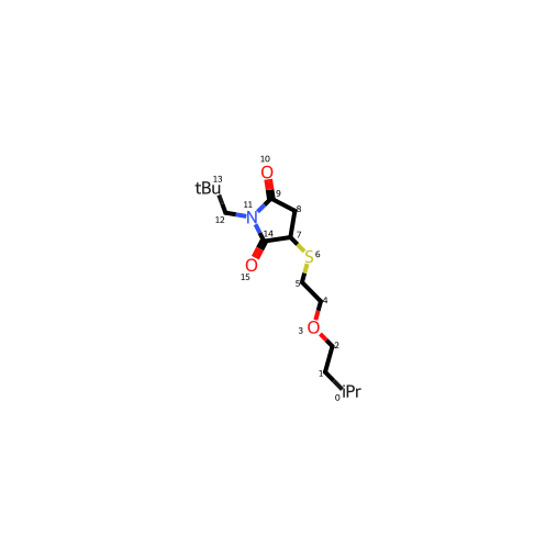 CC(C)CCOCCSC1CC(=O)N(CC(C)(C)C)C1=O